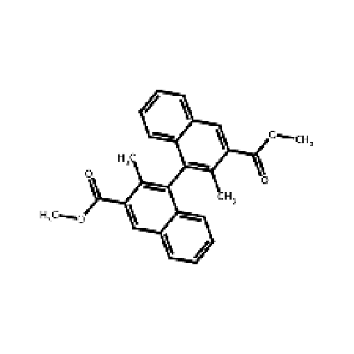 COC(=O)c1cc2ccccc2c(-c2c(C)c(C(=O)OC)cc3ccccc23)c1C